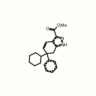 COC(=O)c1n[nH]c2c1C=CC(c1ccccc1)(C1CCCCC1)C2